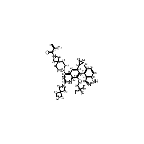 C=C(F)C(=O)N1CC2(CCN(c3nc(N4CC5(COC5)C4)nc4c(OCC(F)(F)F)c(-c5c(C)ccc6[nH]ncc56)c(C5CC5)cc34)CC2)C1